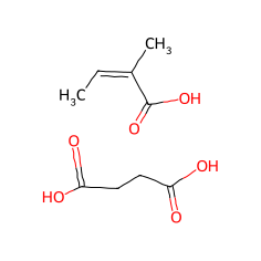 CC=C(C)C(=O)O.O=C(O)CCC(=O)O